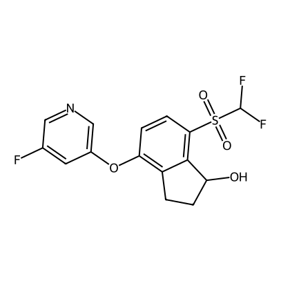 O=S(=O)(c1ccc(Oc2cncc(F)c2)c2c1C(O)CC2)C(F)F